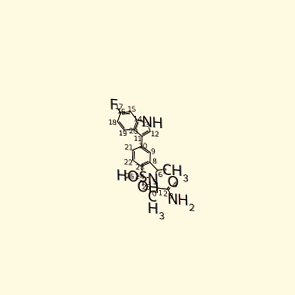 CC(C(N)=O)N1C(C)c2cc(-c3c[nH]c4cc(F)ccc34)ccc2S1(O)O